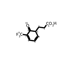 O=C(O)CCC1C=CC=C(C(F)(F)F)C1=O